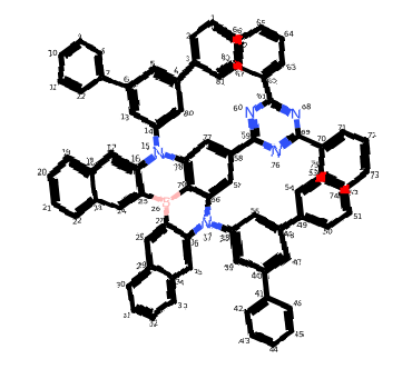 c1ccc(-c2cc(-c3ccccc3)cc(N3c4cc5ccccc5cc4B4c5cc6ccccc6cc5N(c5cc(-c6ccccc6)cc(-c6ccccc6)c5)c5cc(-c6nc(-c7ccccc7)nc(-c7ccccc7)n6)cc3c54)c2)cc1